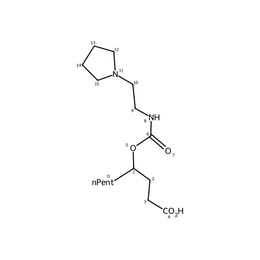 CCCCCC(CCC(=O)O)OC(=O)NCCN1CCCC1